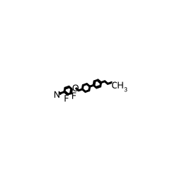 CCCCc1ccc(C2CCC(COc3ccc(C#N)c(F)c3F)CC2)cc1